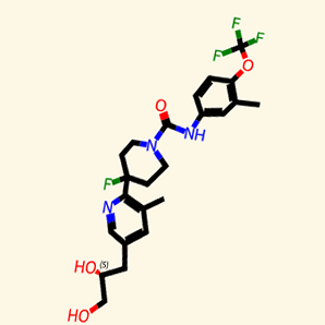 Cc1cc(NC(=O)N2CCC(F)(c3ncc(C[C@H](O)CO)cc3C)CC2)ccc1OC(F)(F)F